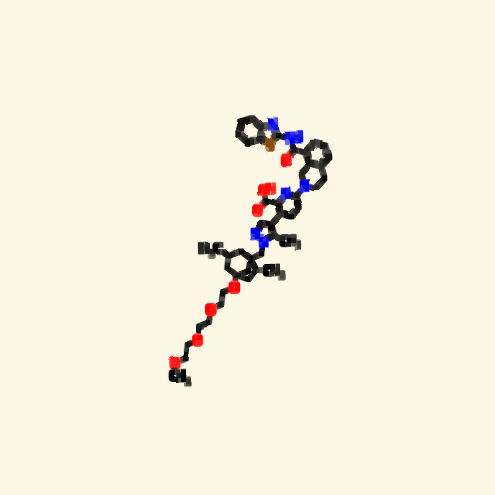 COCCOCCOCCOC12CC(C)CC(Cn3ncc(-c4ccc(N5CCc6cccc(C(=O)Nc7nc8ccccc8s7)c6C5)nc4C(=O)O)c3C)(C1)C(C)C2